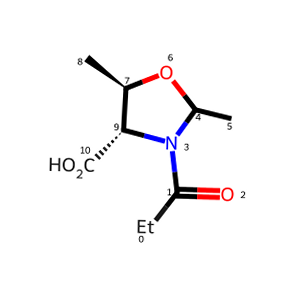 CCC(=O)N1C(C)O[C@H](C)[C@H]1C(=O)O